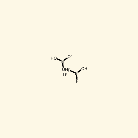 OB(F)F.[Li+].[O-]B(O)O